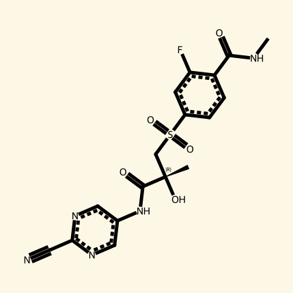 CNC(=O)c1ccc(S(=O)(=O)C[C@](C)(O)C(=O)Nc2cnc(C#N)nc2)cc1F